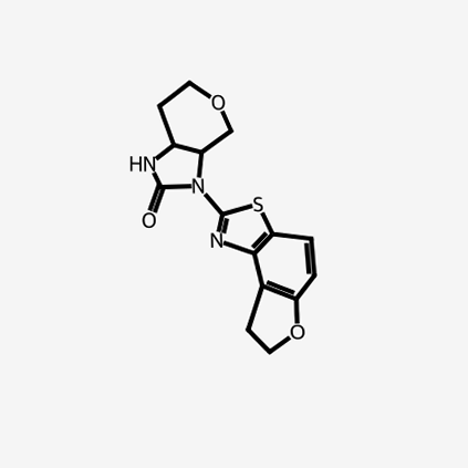 O=C1NC2CCOCC2N1c1nc2c3c(ccc2s1)OCC3